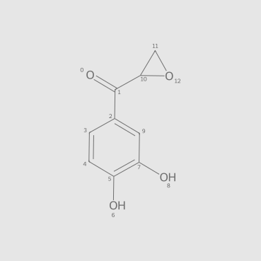 O=C(c1ccc(O)c(O)c1)C1CO1